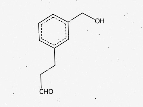 O=CCCc1cccc(CO)c1